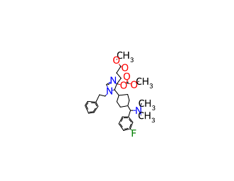 COC(=O)CCC1(OC(=O)OC)N=CN(CCc2ccccc2)C1C1CCC(C(c2cccc(F)c2)N(C)C)CC1